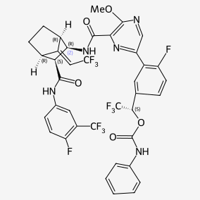 COc1ncc(-c2cc([C@H](OC(=O)Nc3ccccc3)C(F)(F)F)ccc2F)nc1C(=O)N[C@H]1[C@@H](C(=O)Nc2ccc(F)c(C(F)(F)F)c2)[C@H]2CC[C@@H]1/C2=C\C(F)(F)F